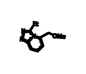 CCc1nnc2cccc(COC)n12